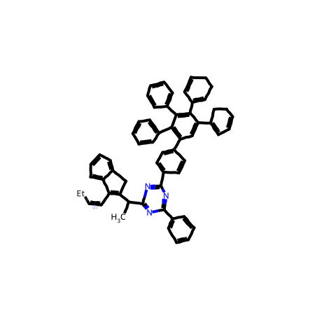 CC/C=C\C1=C(C(C)c2nc(-c3ccccc3)nc(-c3ccc(-c4cc(C5=CC=CCC5)c(C5=CCCC=C5)c(-c5ccccc5)c4-c4ccccc4)cc3)n2)Cc2ccccc21